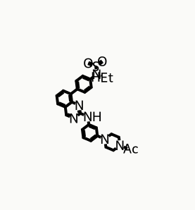 CCN(c1ccc(-c2cccc3cnc(Nc4cccc(N5CCN(C(C)=O)CC5)c4)nc23)cc1)[SH](=O)=O